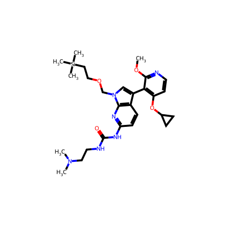 COc1nccc(OC2CC2)c1-c1cn(COCC[Si](C)(C)C)c2nc(NC(=O)NCCN(C)C)ccc12